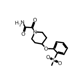 CS(=O)(=O)c1ccccc1OC1CCN(C(=O)C(N)=O)CC1